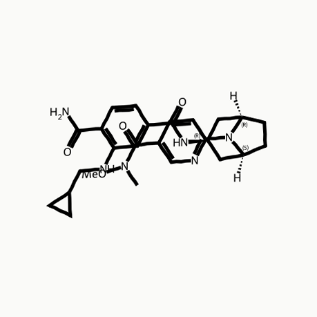 CON(C)C(=O)c1ccc(N2[C@@H]3CC[C@H]2C[C@@H](NC(=O)c2ccc(C(N)=O)c(NCC4CC4)c2)C3)nc1